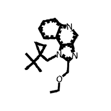 CCOCc1nc2cnc3ccccc3c2n1CC1(C(C)(C)C)CC1